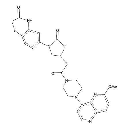 COc1ccc2nccc(N3CCN(C(=O)C[C@@H]4CN(c5ccc6c(c5)NC(=O)CS6)C(=O)O4)CC3)c2n1